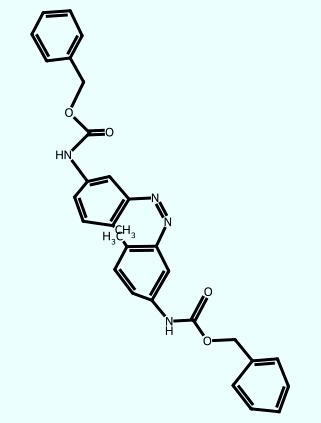 Cc1ccc(NC(=O)OCc2ccccc2)cc1/N=N\c1cc(NC(=O)OCc2ccccc2)ccc1C